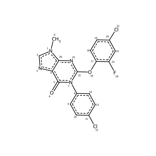 Cn1cnc2c(=O)n(-c3ccc(Cl)cc3)c(Oc3ccc(Cl)cc3F)nc21